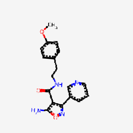 COc1ccc(CCNC(=O)c2c(-c3cccnc3)noc2N)cc1